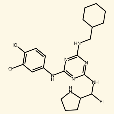 CCC(Nc1nc(NCC2CCCCC2)nc(Nc2ccc(O)c(Cl)c2)n1)C1CCCN1